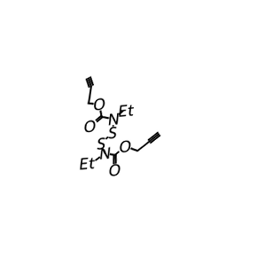 C#CCOC(=O)N(CC)SSN(CC)C(=O)OCC#C